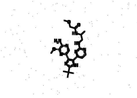 COCC(=O)NC(C)CNc1nccc(-c2[nH]c(C(C)(C)C)nc2-c2cnc(N)c(OC)n2)n1